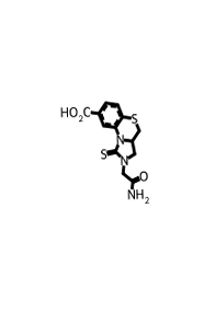 NC(=O)CN1CC2CSc3ccc(C(=O)O)cc3N2C1=S